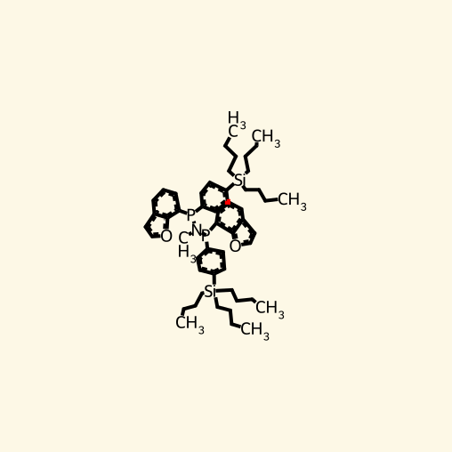 CCCC[Si](CCCC)(CCCC)c1ccc(P(c2cccc3ccoc23)N(C)P(c2ccc([Si](CCCC)(CCCC)CCCC)cc2)c2cccc3ccoc23)cc1